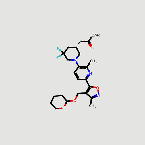 COC(=O)C[C@@H]1CN(c2ccc(-c3onc(C)c3COC3CCCCO3)nc2C)CC(F)(F)C1